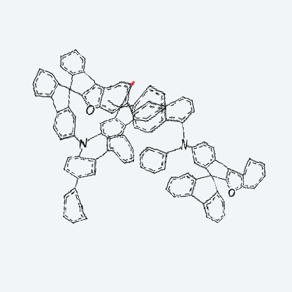 CC1(C)c2ccccc2-c2ccc(N(c3ccc4c(c3)C3(c5ccccc5-4)c4ccccc4-c4c3oc3cc(-c5ccc6c(N(c7ccccc7)c7ccc8c(c7)C7(c9ccccc9-c9ccccc97)c7oc9ccccc9c7-8)cccc6c5)ccc43)c3ccc(-c4ccccc4)cc3-c3ccccc3)cc21